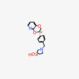 O[C@H]1CCN(Cc2ccc([C@H]3COc4cccnc4O3)cc2)C1